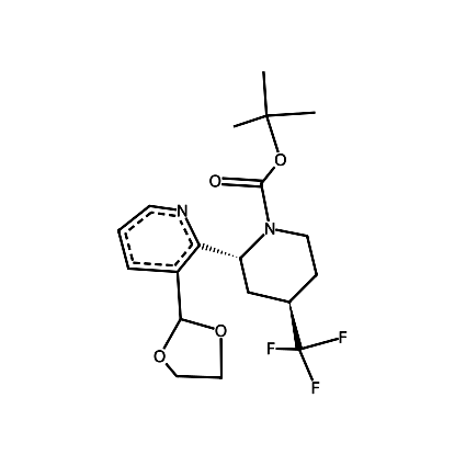 CC(C)(C)OC(=O)N1CC[C@@H](C(F)(F)F)C[C@@H]1c1ncccc1C1OCCO1